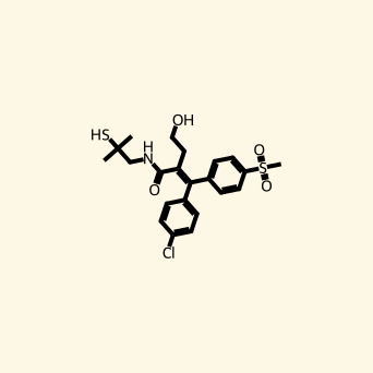 CC(C)(S)CNC(=O)C(CCO)=C(c1ccc(Cl)cc1)c1ccc(S(C)(=O)=O)cc1